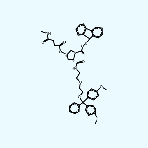 CNC(=O)CCC(=O)O[C@@H]1C[C@@H](C(=O)NCCOCCOC(c2ccccc2)(c2ccc(OC)cc2)c2ccc(OC)cc2)N(C(=O)OCC2c3ccccc3-c3ccccc32)C1